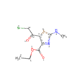 CCOC(=O)c1nc(NC)sc1C(=O)CBr